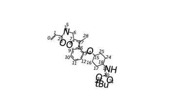 C=CC(=O)N(C)Cc1oc2cccc(OC3CCC(NC(=O)OC(C)(C)C)CC3)c2c1C